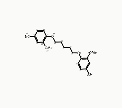 COc1cc(C#N)ccc1OCCCCCOc1ccc(C#N)cc1OC